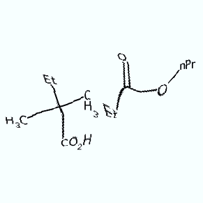 CCC(C)(C)C(=O)O.CCCOC(=O)CC